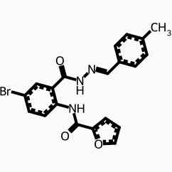 Cc1ccc(/C=N/NC(=O)c2cc(Br)ccc2NC(=O)c2ccco2)cc1